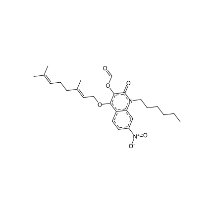 CCCCCCn1c(=O)c(OC=O)c(OC/C=C(\C)CCC=C(C)C)c2ccc([N+](=O)[O-])cc21